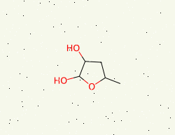 CC1CC(O)C(O)O1